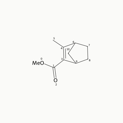 COC(=O)C1=C(C)C2CCC1C2